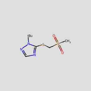 CC(C)(C)n1ncnc1SCS(C)(=O)=O